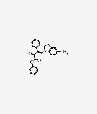 Cc1ccc2c(c1)CCN2/C=C(/C(=O)C(=O)Oc1ccccc1)c1ccccc1